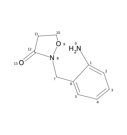 Nc1ccccc1CN1OCCC1=O